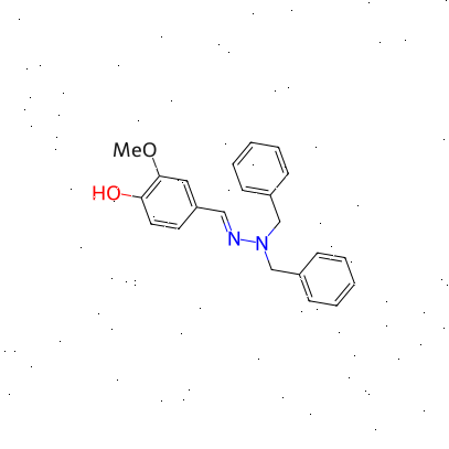 COc1cc(C=NN(Cc2ccccc2)Cc2ccccc2)ccc1O